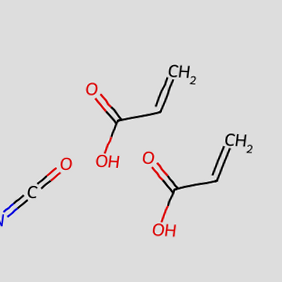 C=CC(=O)O.C=CC(=O)O.N=C=O